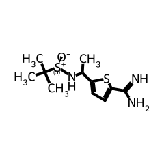 CC(N[S@+]([O-])C(C)(C)C)c1ccc(C(=N)N)s1